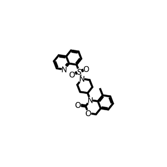 Cc1cccc2c1N(C1CCN(S(=O)(=O)c3cccc4cccnc34)CC1)C(=O)OC2